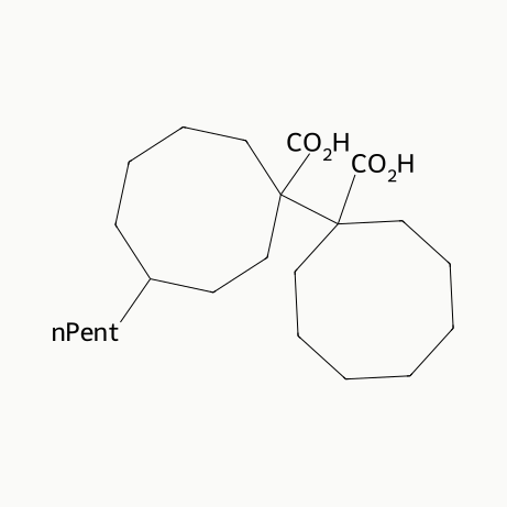 CCCCCC1CCCCC(C(=O)O)(C2(C(=O)O)CCCCCCC2)CC1